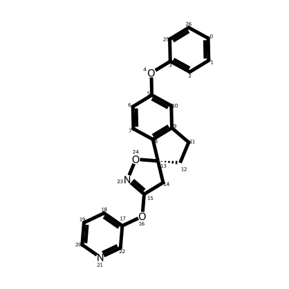 c1ccc(Oc2ccc3c(c2)CC[C@@]32CC(Oc3cccnc3)=NO2)cc1